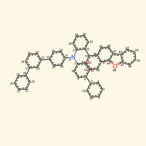 c1ccc(-c2ccc(N(c3ccc(-c4cccc(-c5ccccc5)c4)cc3)c3ccccc3-c3cccc4c3ccc3c5ccccc5oc43)cc2)cc1